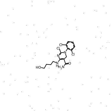 NC(=O)C1=C(NCCCCO)N=C(Cl)N(c2c(Cl)cccc2Cl)C1